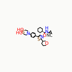 N#CC1(NC(=O)[C@@H]2CCCC[C@H]2c2nc(C3CCCOC3)sc2-c2ccc(N3CCS(O)(O)CC3)cc2)CC1